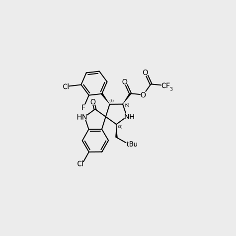 CC(C)(C)C[C@@H]1N[C@H](C(=O)OC(=O)C(F)(F)F)[C@H](c2cccc(Cl)c2F)C12C(=O)Nc1cc(Cl)ccc12